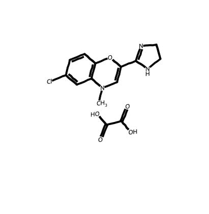 CN1C=C(C2=NCCN2)Oc2ccc(Cl)cc21.O=C(O)C(=O)O